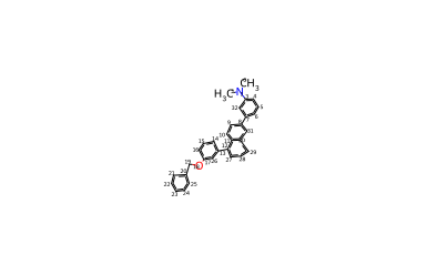 CN(C)c1cccc(-c2ccc3c(-c4cccc(OCc5ccccc5)c4)cccc3c2)c1